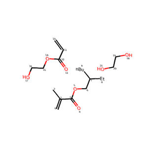 C=C(C)C(=O)OCC(CC)CCCC.C=CC(=O)OCCO.OCCO